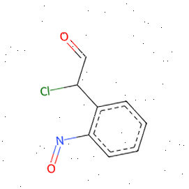 O=CC(Cl)c1ccccc1N=O